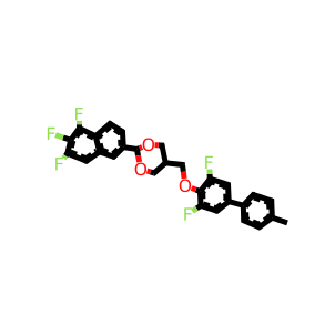 Cc1ccc(-c2cc(F)c(OCC3COC(c4ccc5c(F)c(F)c(F)cc5c4)OC3)c(F)c2)cc1